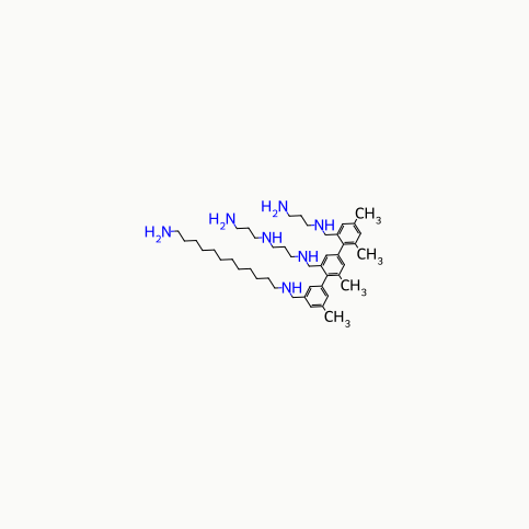 Cc1cc(CNCCCCCCCCCCCCN)cc(-c2c(C)cc(-c3c(C)cc(C)cc3CNCCCN)cc2CNCCCNCCCN)c1